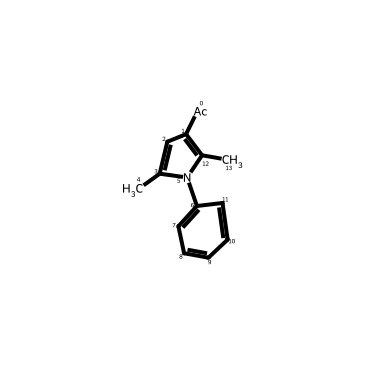 CC(=O)c1cc(C)n(-c2ccccc2)c1C